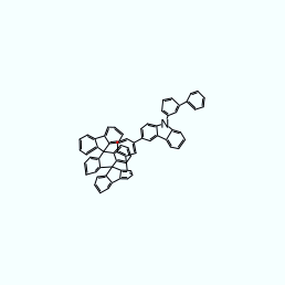 c1ccc(-c2cccc(-n3c4ccccc4c4cc(-c5cccc(-c6cccc7c6C6(c8ccccc8-7)c7ccccc7C7(c8ccccc8-c8ccccc87)c7ccccc76)c5)ccc43)c2)cc1